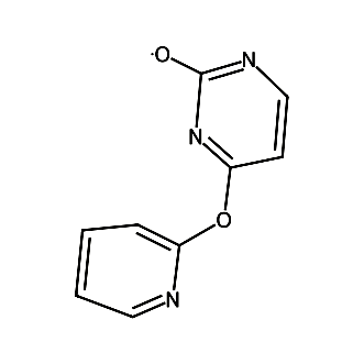 [O]c1nccc(Oc2ccccn2)n1